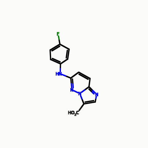 O=C(O)c1cnc2ccc(Nc3ccc(F)cc3)nn12